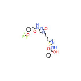 O=C(Cc1cccc(OC(F)(F)F)c1)Nc1ccn(CCCCc2nnc(NC(=O)[C@@H](O)c3ccccc3)s2)c(=O)n1